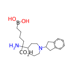 NC(CCCCB(O)O)(C(=O)O)C1CCCN(C2Cc3ccccc3C2)CC1